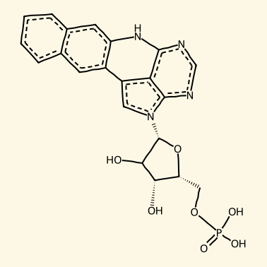 O=P(O)(O)OC[C@H]1O[C@@H](n2cc3c4c(ncnc42)Nc2cc4ccccc4cc2-3)C(O)[C@H]1O